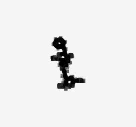 CC(C)(C)OC(Cc1ccccc1)C(=O)C(C)(C)C(C)(C)OCCC(CC(=O)O)CC(=O)C(C)(C)C